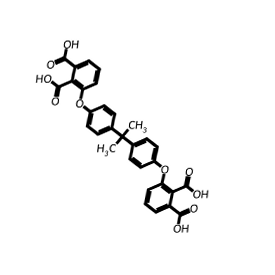 CC(C)(c1ccc(Oc2cccc(C(=O)O)c2C(=O)O)cc1)c1ccc(Oc2cccc(C(=O)O)c2C(=O)O)cc1